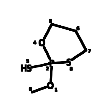 CO[P]1(S)OCCCS1